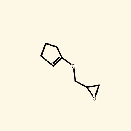 C1=C(OCC2CO2)CCC1